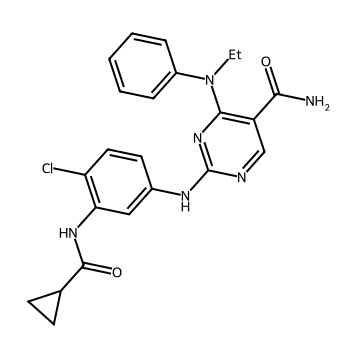 CCN(c1ccccc1)c1nc(Nc2ccc(Cl)c(NC(=O)C3CC3)c2)ncc1C(N)=O